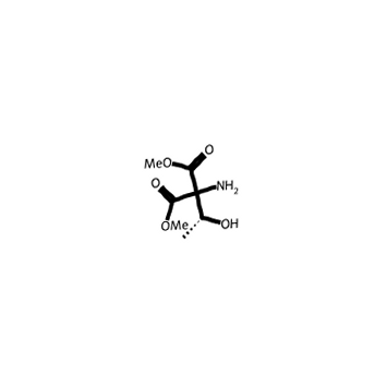 COC(=O)C(N)(C(=O)OC)[C@@H](C)O